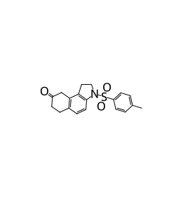 Cc1ccc(S(=O)(=O)N2CCc3c2ccc2c3CC(=O)CC2)cc1